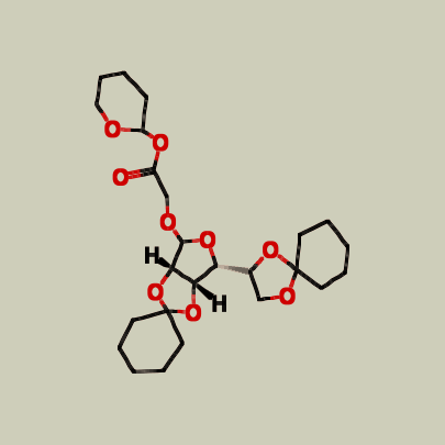 O=C(COC1O[C@H](C2COC3(CCCCC3)O2)[C@@H]2OC3(CCCCC3)O[C@H]12)OC1CCCCO1